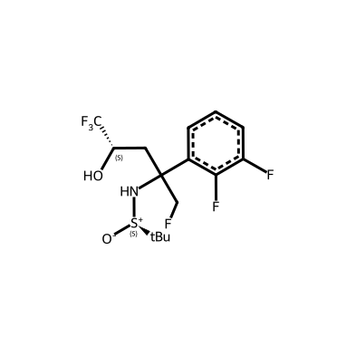 CC(C)(C)[S@@+]([O-])NC(CF)(C[C@H](O)C(F)(F)F)c1cccc(F)c1F